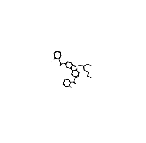 CCCCC(CC)Cn1c2ccc(C(=O)c3ccccc3C)cc2c2cc(C(=O)c3ccccc3C)ccc21